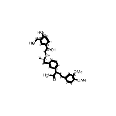 COc1ccc(CCC(C(N)=O)c2cccc(C[C@@H](C)NC[C@H](O)c3ccc(O)c(CO)c3)c2)cc1OC